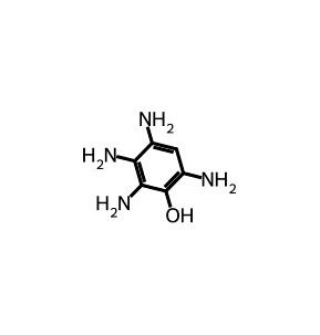 Nc1cc(N)c(O)c(N)c1N